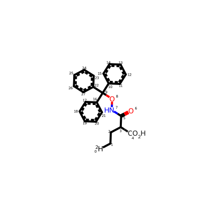 [2H]CCC(C(=O)O)C(=O)NOC(c1ccccc1)(c1ccccc1)c1ccccc1